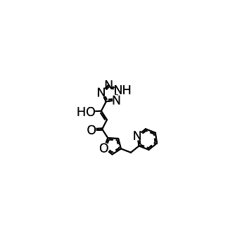 O=C(C=C(O)c1nn[nH]n1)c1cc(Cc2ccccn2)co1